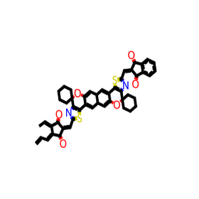 C=C/C=C1/C(=O)/C(=C/c2nc3c(s2)C2=CC4C=C5OC6(CCCCC6)c6nc(C=C7C(=O)c8ccccc8C7=O)sc6C5=CC4C=C2OC32CCCCC2)C(=O)/C1=C/C